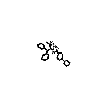 Cc1nn2nc(-c3ccc(-c4ccccc4)cc3)nc2c1=C(c1ccccc1)c1ccccc1